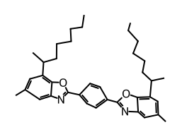 CCCCCCC(C)c1cc(C)cc2nc(-c3ccc(-c4nc5cc(C)cc(C(C)CCCCCC)c5o4)cc3)oc12